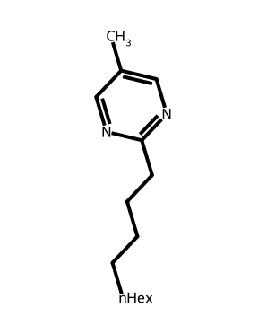 CCCCCCCCCCc1ncc(C)cn1